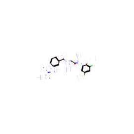 N=C(N)Nc1cccc(C(=O)NCC(=O)Nc2cc(Br)cc(Cl)c2O)c1